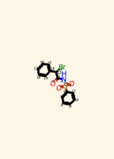 O=C(NS(=O)(=O)c1ccccc1)C(Br)c1ccccc1